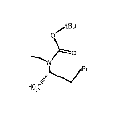 CC(C)C[C@H](C(=O)O)N(C)C(=O)OC(C)(C)C